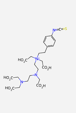 O=C(O)CN(CCN(CC(=O)O)CC(=O)O)CC[N+](CCc1ccc(N=C=S)cc1)(CC(=O)O)CC(=O)O